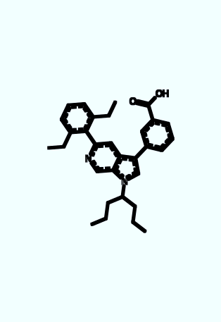 CCCC(CCC)n1cc(-c2cccc(C(=O)O)c2)c2cc(-c3c(CC)cccc3CC)ncc21